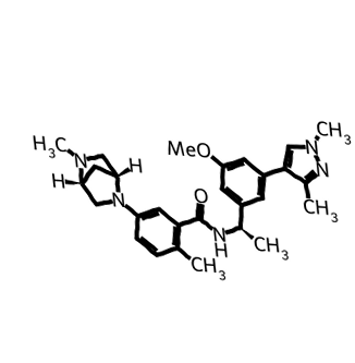 COc1cc(-c2cn(C)nc2C)cc([C@@H](C)NC(=O)c2cc(N3C[C@H]4C[C@@H]3CN4C)ccc2C)c1